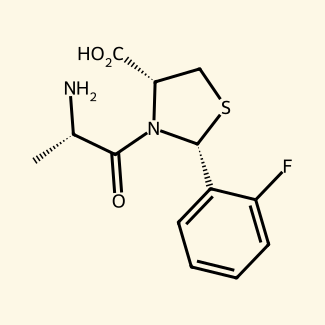 C[C@H](N)C(=O)N1[C@@H](c2ccccc2F)SC[C@H]1C(=O)O